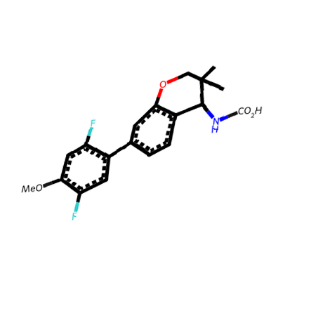 COc1cc(F)c(-c2ccc3c(c2)OCC(C)(C)C3NC(=O)O)cc1F